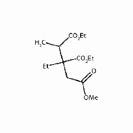 CCOC(=O)[C](C)C(CC)(CC(=O)OC)C(=O)OCC